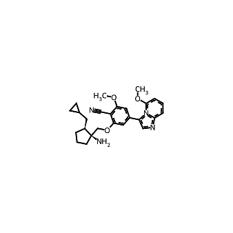 COc1cc(-c2cnc3cccc(OC)n23)cc(OC[C@]2(N)CCC[C@H]2CC2CC2)c1C#N